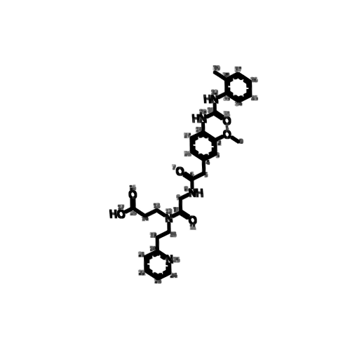 COc1cc(CC(=O)NCC(=O)N(CCC(=O)O)CCc2ccccn2)ccc1NC(=O)Nc1ccccc1C